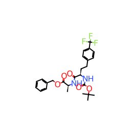 C[C@H](NC(=O)[C@@H](CCc1ccc(C(F)(F)F)cc1)NC(=O)OC(C)(C)C)C(=O)OCc1ccccc1